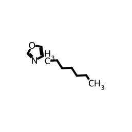 CCCCCCC.c1cocn1